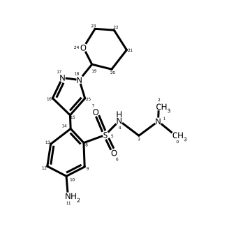 CN(C)CNS(=O)(=O)c1cc(N)ccc1-c1cnn(C2CCCCO2)c1